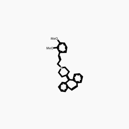 COc1cccc(C=CCN2CCC(=C3c4ccccc4C=Cc4ccccc43)CC2)c1OC